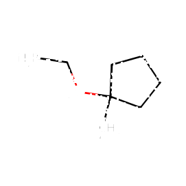 BCOC1(C)CCCC1